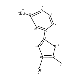 Cc1sc(-c2ccnc(C(C)(C)C)c2)cc1Br